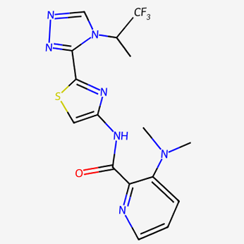 CC(n1cnnc1-c1nc(NC(=O)c2ncccc2N(C)C)cs1)C(F)(F)F